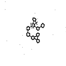 CC1(C)c2ccccc2-c2nc(-c3cccc(-c4cccc(-c5ccc6c7ccccc7c7ccccc7c6c5)c4)c3)nc(-c3cccc(-c4ccccc4)c3)c21